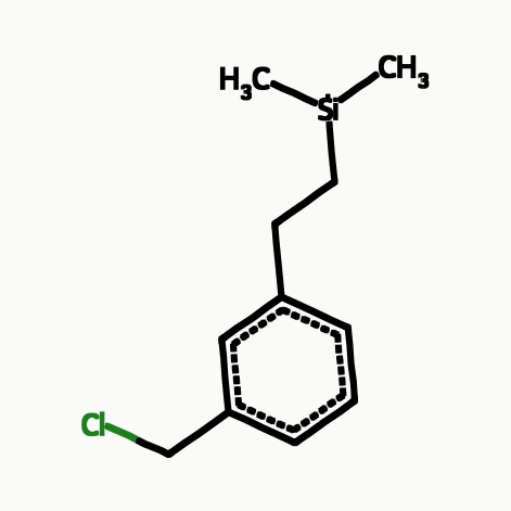 C[Si](C)CCc1cccc(CCl)c1